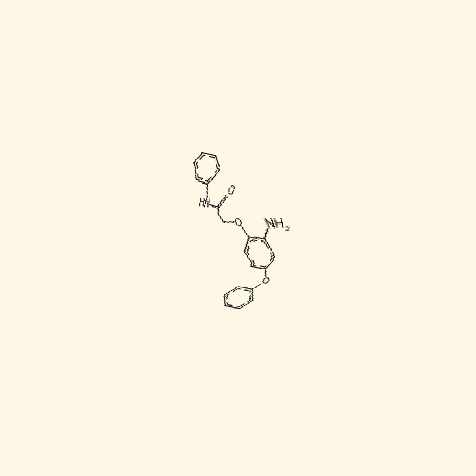 Nc1cc(Oc2ccccc2)ccc1OCC(=O)Nc1ccccc1